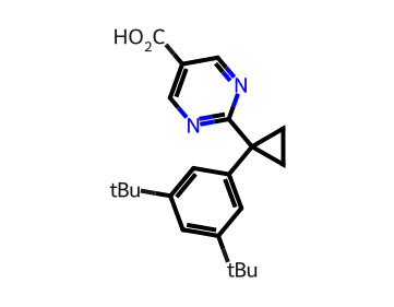 CC(C)(C)c1cc(C(C)(C)C)cc(C2(c3ncc(C(=O)O)cn3)CC2)c1